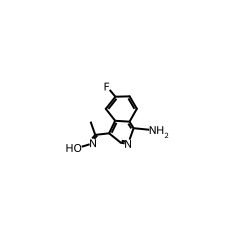 C/C(=N\O)c1cnc(N)c2ccc(F)cc12